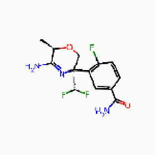 C[C@H]1OC[C@](c2cc(C(N)=O)ccc2F)(C(F)F)N=C1N